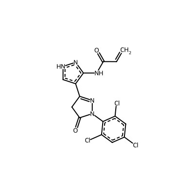 C=CC(=O)Nc1n[nH]cc1C1=NN(c2c(Cl)cc(Cl)cc2Cl)C(=O)C1